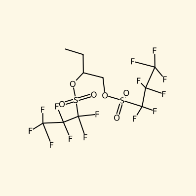 CCC(COS(=O)(=O)C(F)(F)C(F)(F)C(F)(F)F)OS(=O)(=O)C(F)(F)C(F)(F)C(F)(F)F